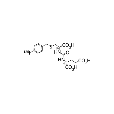 O=C(O)CC[C@H](NC(=O)N[C@@H](CSCc1ccc([125I])cc1)C(=O)O)C(=O)O